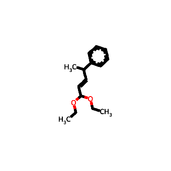 CCOC(C=CC(C)c1ccccc1)OCC